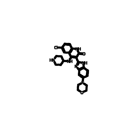 O=c1[nH]c2ccc(Cl)cc2c(NC2CCNCC2)c1-c1nc2cc(N3CCOCC3)ccc2[nH]1